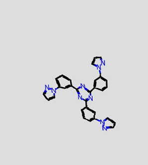 c1cc(-c2nc(-c3cccc(-n4cccn4)c3)nc(-c3cccc(-n4cccn4)c3)n2)cc(-n2cccn2)c1